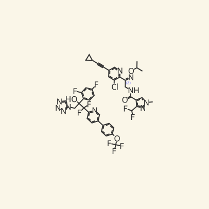 CC(C)O/N=C(/CNC(=O)c1cn(C)nc1C(F)F)c1ncc(C#CC2CC2)cc1Cl.OC(Cn1cnnn1)(c1ccc(F)cc1F)C(F)(F)c1ccc(-c2ccc(OC(F)(F)F)cc2)cn1